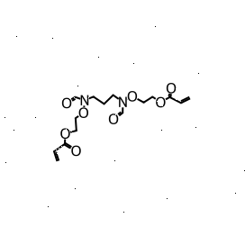 C=CC(=O)OCCON(C=O)CCCN(C=O)OCCOC(=O)C=C